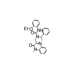 CCOc1ccccc1NC(=O)N(Cc1nc2ccccc2n(C)c1=O)C(C)c1ccccc1